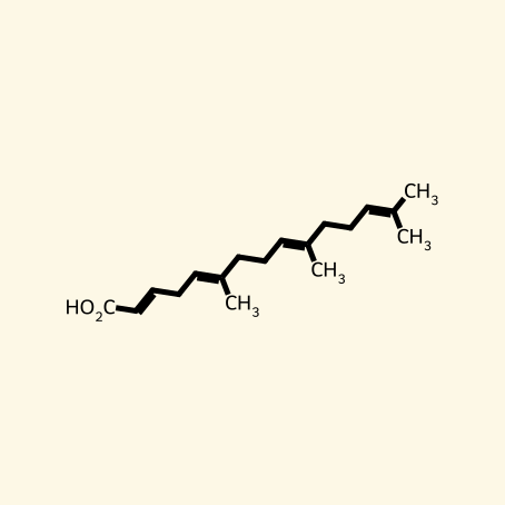 CC(C)=CCC/C(C)=C/CC/C(C)=C/C/C=C/C(=O)O